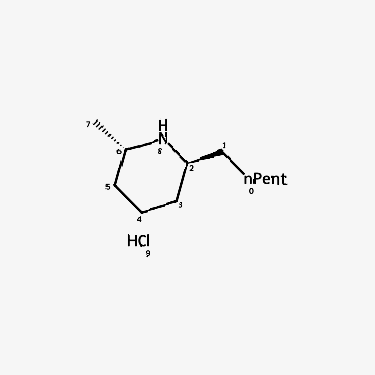 CCCCCC[C@H]1CCC[C@H](C)N1.Cl